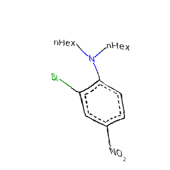 CCCCCCN(CCCCCC)c1ccc([N+](=O)[O-])cc1Br